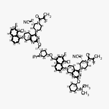 C=C(F)C(=O)N1CCN(c2nc(OC[C@@H]3C[C@@H](OCc4cc(F)c(Cl)c5c(N6CCc7c(nc(O[C@@H]8CCCC[C@H]8N(C)C)nc7N7CCN(C(=O)C(=C)F)[C@@H](CC#N)C7)C6)cccc45)CN3C(C)C)nc3c2CCN(c2cccc4ccc(F)c(Cl)c24)C3)C[C@@H]1CC#N